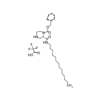 CCCCCCCCCCCCCCNC(=O)C1CNCCN1C(=O)OCc1ccccc1.O=C(O)C(F)(F)F